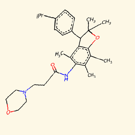 Cc1c(C)c2c(c(C)c1NC(=O)CCN1CCOCC1)C(c1ccc(C(C)C)cc1)C(C)(C)O2